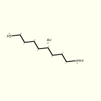 CCCCCCCCCCCCCCS.[Au]